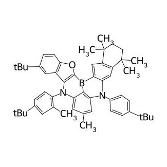 Cc1cc2c3c(c1)N(c1ccc(C(C)(C)C)cc1C)c1c(oc4ccc(C(C)(C)C)cc14)B3c1cc3c(cc1N2c1ccc(C(C)(C)C)cc1)C(C)(C)CCC3(C)C